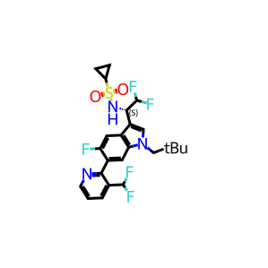 CC(C)(C)Cn1cc([C@H](NS(=O)(=O)C2CC2)C(F)F)c2cc(F)c(-c3ncccc3C(F)F)cc21